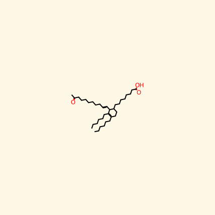 CCCCCCC1=C(CCCCCC)C(/C=C/CCCCCCCC(C)=O)C(CCCCCCCC(=O)O)CC1